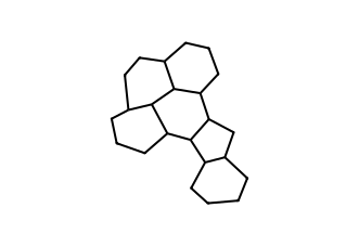 C1CCC2C(C1)CC1C3CCCC4CCC5CCCC(C21)C5C43